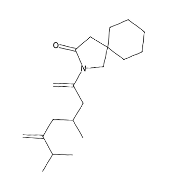 C=C(CC(C)CC(=C)N1CC2(CCCCC2)CC1=O)C(C)C